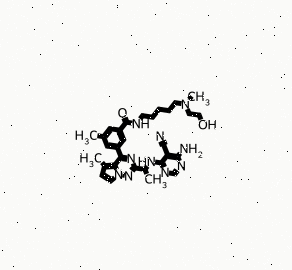 Cc1cc(C(=O)NCCCCCN(C)CCO)cc(-c2nc(C(C)Nc3ncnc(N)c3C#N)nn3ccc(C)c23)c1